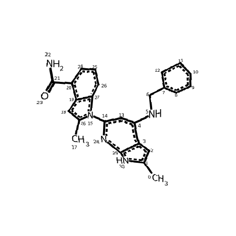 Cc1cc2c(NCc3ccccc3)cc(-n3c(C)cc4c(C(N)=O)cccc43)nc2[nH]1